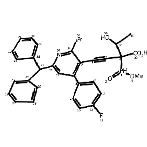 CO[PH](=O)C(C#Cc1c(-c2ccc(F)cc2)cc(C(c2ccccc2)c2ccccc2)nc1C(C)C)(C(=O)O)C(C)O